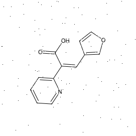 O=C(O)C(=Cc1ccoc1)c1ccccn1